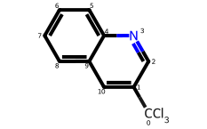 ClC(Cl)(Cl)c1cnc2ccccc2c1